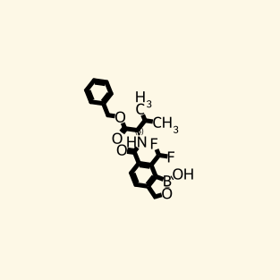 CC(C)[C@H](NC(=O)c1ccc2c(c1C(F)F)B(O)OC2)C(=O)OCc1ccccc1